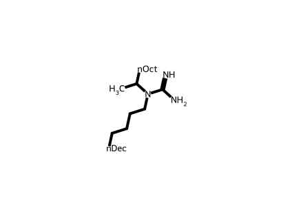 CCCCCCCCCCCCCCN(C(=N)N)C(C)CCCCCCCC